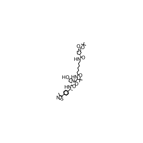 Cc1ncsc1-c1ccc([C@H](C)NC(=O)[C@@H]2C[C@@H](O)CN2C(=O)[C@@H](NC(=O)CCCCCCNC(=O)[C@H]2CCN(C(=O)OC(C)(C)C)C2)C(C)(C)C)cc1